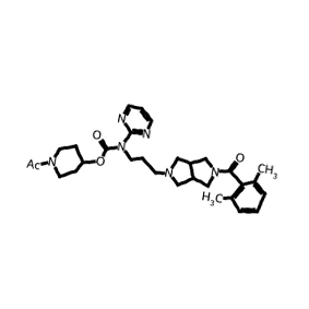 CC(=O)N1CCC(OC(=O)N(CCCN2CC3CN(C(=O)c4c(C)cccc4C)CC3C2)c2ncccn2)CC1